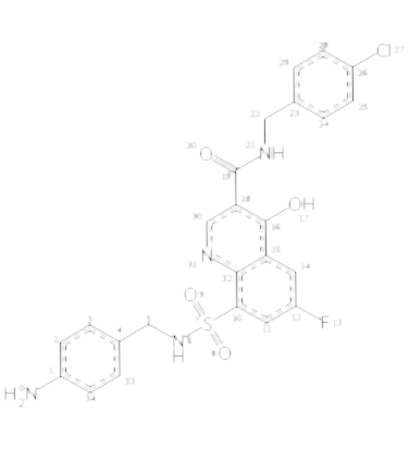 Nc1ccc(CNS(=O)(=O)c2cc(F)cc3c(O)c(C(=O)NCc4ccc(Cl)cc4)cnc23)cc1